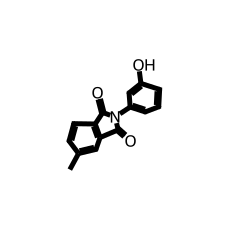 Cc1ccc2c(c1)C(=O)N(c1cccc(O)c1)C2=O